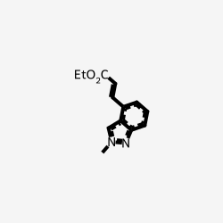 CCOC(=O)C=Cc1cccc2nn(C)cc12